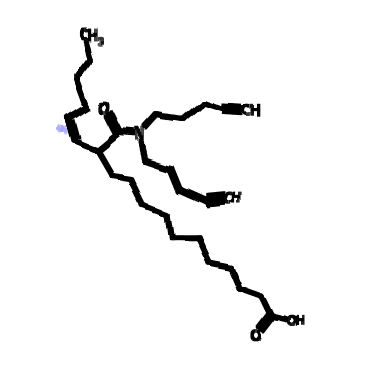 C#CCCCN(CCCC#C)C(=O)C(/C=C\CCCC)CCCCCCCCCCC(=O)O